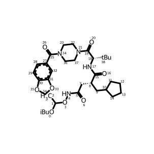 CC(C)COC(C)ONC(=O)C[C@@H](CC1CCCC1)C(=O)N[C@H](C(=O)N1CCN(C(=O)c2ccc3c(c2)OCO3)CC1)C(C)(C)C